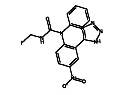 O=C(NCF)N(c1ccccc1)c1ccc([N+](=O)[O-])cc1-c1nnn[nH]1